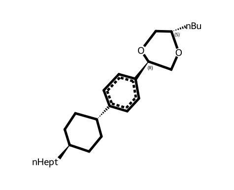 CCCCCCC[C@H]1CC[C@H](c2ccc([C@@H]3CO[C@@H](CCCC)CO3)cc2)CC1